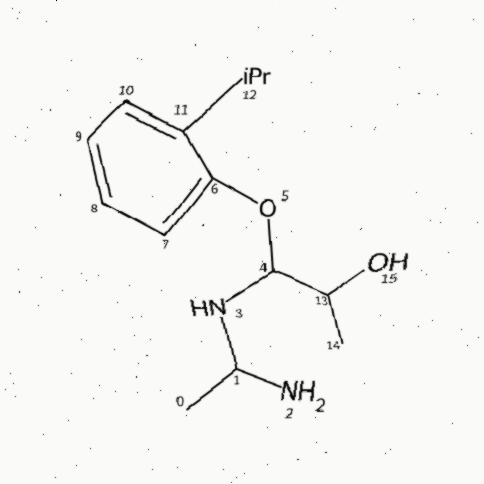 CC(N)NC(Oc1ccccc1C(C)C)C(C)O